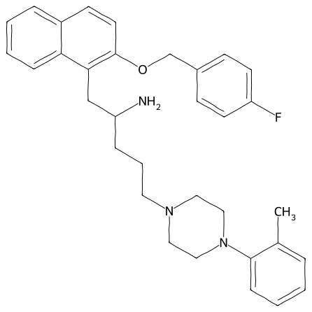 Cc1ccccc1N1CCN(CCCC(N)Cc2c(OCc3ccc(F)cc3)ccc3ccccc23)CC1